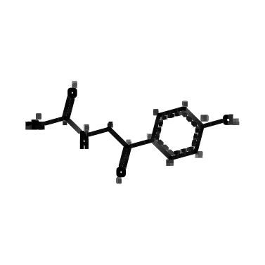 CCCCC(=O)NCC(=O)c1ccc(Cl)cc1